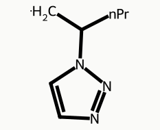 [CH2]C(CCC)n1ccnn1